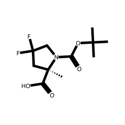 CC(C)(C)OC(=O)N1CC(F)(F)C[C@]1(C)C(=O)O